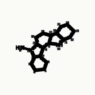 Nn1c2ccccc2c2c3[nH]c4ccccc4c3ccc21